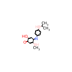 CBC1=CC(=O)C(O)=C/C1=N\c1ccc(BC(C)C)cc1